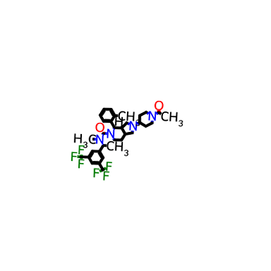 CC(=O)N1CCC(N2CC3CCN(C(=O)N(C)C(C)c4cc(C(F)(F)F)cc(C(F)(F)F)c4)C(c4ccccc4C)[C@@H]3C2)CC1